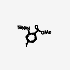 COC(=O)c1ccc(I)cc1N=[N+]=[N-]